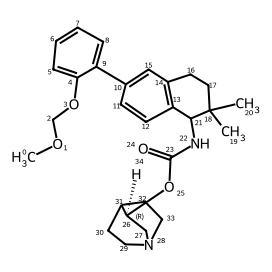 COCOc1ccccc1-c1ccc2c(c1)CCC(C)(C)C2NC(=O)O[C@H]1CN2CCC1CC2